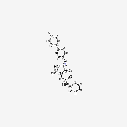 Cc1ccc(-c2ccc(/C=C3\NC(=O)N(CC(=O)Nc4ccccc4)C3=O)cc2)cc1